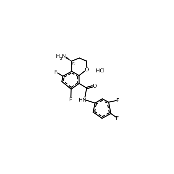 Cl.N[C@H]1CCOc2c(C(=O)Nc3ccc(F)c(F)c3)c(F)cc(F)c21